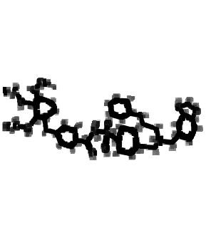 COc1ccc(Cc2ccc(C(=O)NS(=O)(=O)c3ccc(CN(CCSc4ccccc4)Cc4ccc5c(c4)OCO5)cc3)cc2)c(OC)c1OC